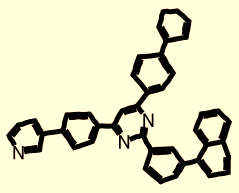 C1=CC(c2ccc(-c3cc(-c4ccc(-c5cccnc5)cc4)nc(-c4cccc(-c5cccc6ccccc56)c4)n3)cc2)=CCC1